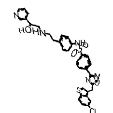 O=S(=O)(Nc1ccc(CCNCC(O)c2cccnc2)cc1)c1ccc(-c2noc(Cc3csc4ccc(Cl)cc34)n2)cc1